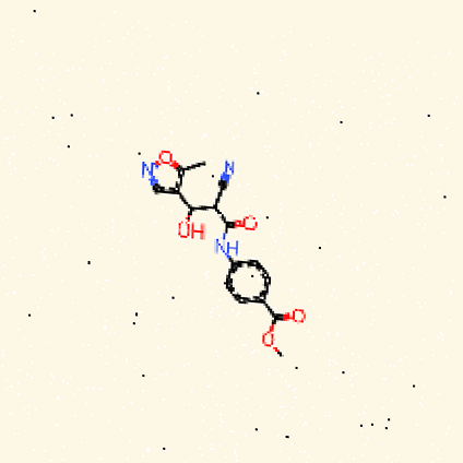 COC(=O)c1ccc(NC(=O)C(C#N)C(O)c2cnoc2C)cc1